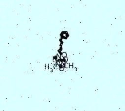 Cn1c(=O)c2c(ncn2C(=O)/C=C/CCCc2ccccc2)n(C)c1=O